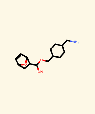 NCC1CCC(COC(O)C2CC3C=CC2O3)CC1